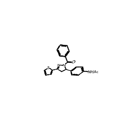 CC(=O)Nc1ccc(C2CC(c3cccs3)=NN2C(=O)c2ccccc2)cc1